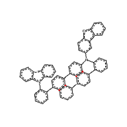 c1ccc(-c2ccc(-c3ccccc3N(c3ccc(-c4ccc(-c5ccccc5-n5c6ccccc6c6ccccc65)cc4)cc3)c3ccc4oc5ccccc5c4c3)cc2)cc1